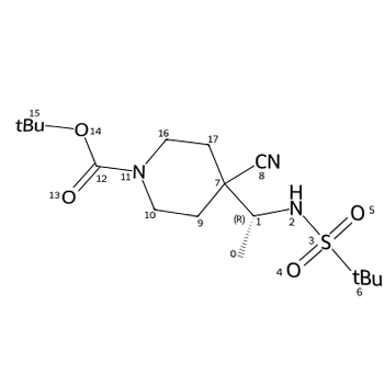 C[C@@H](NS(=O)(=O)C(C)(C)C)C1(C#N)CCN(C(=O)OC(C)(C)C)CC1